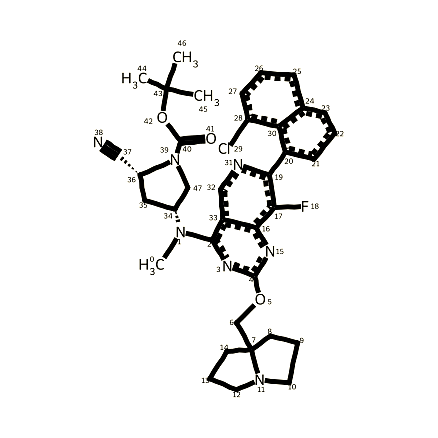 CN(c1nc(OCC23CCCN2CCC3)nc2c(F)c(-c3cccc4cccc(Cl)c34)ncc12)[C@@H]1C[C@H](C#N)N(C(=O)OC(C)(C)C)C1